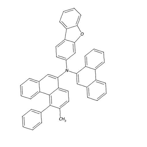 Cc1ccc2c(N(c3ccc4c(c3)oc3ccccc34)c3cc4ccccc4c4ccccc34)cc3ccccc3c2c1-c1ccccc1